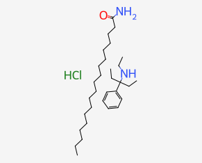 CCCCCCCCCCCCCCCCCC(N)=O.CCNC(CC)(CC)c1ccccc1.Cl